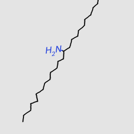 CCCCCCCCCCCCCC(N)CCCCCCCCCC